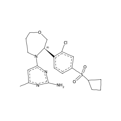 Cc1cc(N2CCCOC[C@H]2c2ccc(S(=O)(=O)C3CCC3)cc2Cl)nc(N)n1